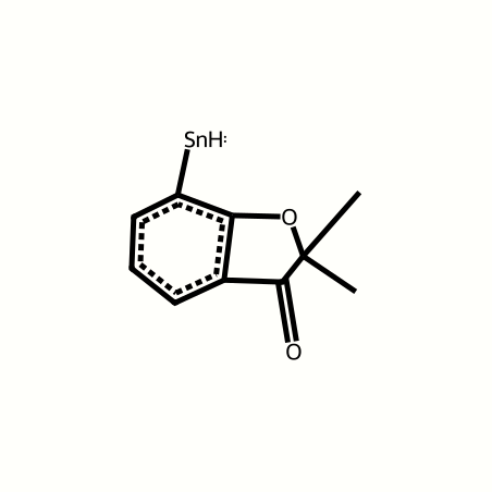 CC1(C)Oc2[c]([SnH])cccc2C1=O